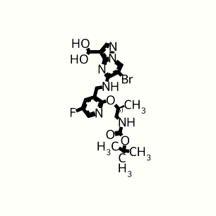 C[C@@H](CNC(=O)OC(C)(C)C)Oc1ncc(F)cc1CNc1nc2c(C(O)O)cnn2cc1Br